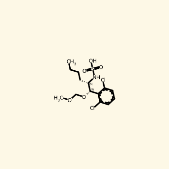 CCCC[C@H](NS(=O)(=O)O)[C@@H](OCOC)c1c(Cl)cccc1Cl